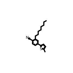 CCCCCCCCc1cc(-c2ccc(C)s2)ccc1C#N